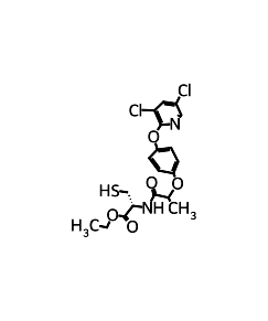 CCOC(=O)[C@H](CS)NC(=O)C(C)Oc1ccc(Oc2ncc(Cl)cc2Cl)cc1